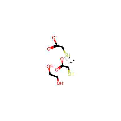 O=C([O-])CS.O=C([O-])CS.OCCO.[Li+].[Li+]